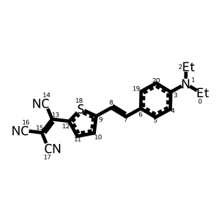 CCN(CC)c1ccc(C=Cc2ccc(C(C#N)=C(C#N)C#N)s2)cc1